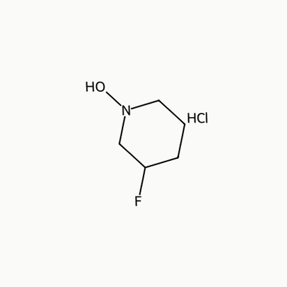 Cl.ON1CCCC(F)C1